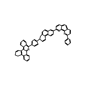 C1=Cc2c(c3ccccc3c3nc(-c4ccc(C5C=Cc6c(ccc7cc(-c8ccc9ccc%10ccc(-c%11ccccc%11)nc%10c9n8)ccc67)C5)cc4)c4ccccc4c23)CC1